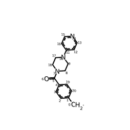 [CH2]c1ccc(C(=O)N2CCN(c3ccncc3)CC2)cc1